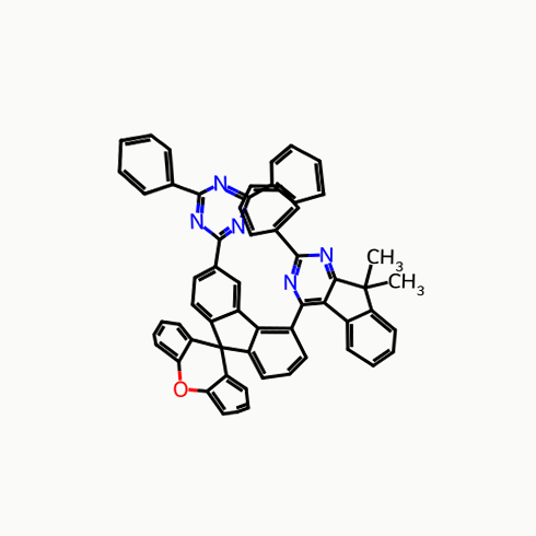 CC1(C)c2ccccc2-c2c(-c3cccc4c3-c3cc(-c5nc(-c6ccccc6)nc(-c6ccccc6)n5)ccc3C43c4ccccc4Oc4ccccc43)nc(-c3ccccc3)nc21